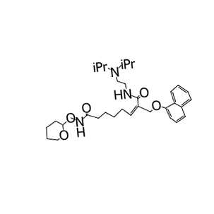 CC(C)N(CCNC(=O)C(=CCCCCC(=O)NOC1CCCCO1)COc1cccc2ccccc12)C(C)C